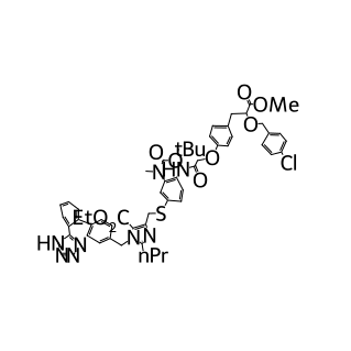 CCCc1nc(CSc2ccc(NC(=O)COc3ccc(CC(OCc4ccc(Cl)cc4)C(=O)OC)cc3)c(N(C)C(=O)OC(C)(C)C)c2)c(C(=O)OCC)n1Cc1ccc(-c2ccccc2-c2nnn[nH]2)cc1